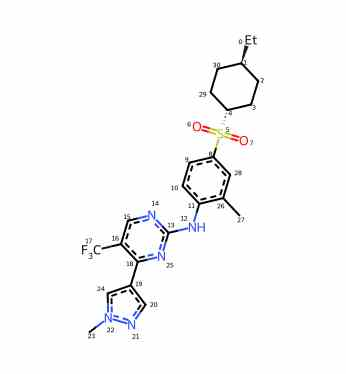 CC[C@H]1CC[C@H](S(=O)(=O)c2ccc(Nc3ncc(C(F)(F)F)c(-c4cnn(C)c4)n3)c(C)c2)CC1